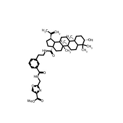 C=C(C)[C@@H]1CC[C@]2(C(=O)NCCc3cccc(C(=O)NCc4nc(C(=O)OC)co4)c3)CC[C@]3(C)C(CCC4[C@@]5(C)CC[C@H](O)C(C)(C)C5CC[C@]43C)C12